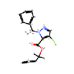 C=C=CC(C)(C)OC(=O)c1c(F)cnn1[C@H](C)c1ccccc1